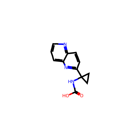 O=C(O)NC1(c2ccc3ncccc3n2)CC1